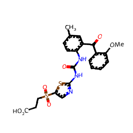 COc1ccccc1C(=O)c1cc(C)ccc1NC(=O)Nc1ncc(S(=O)(=O)CCC(=O)O)s1